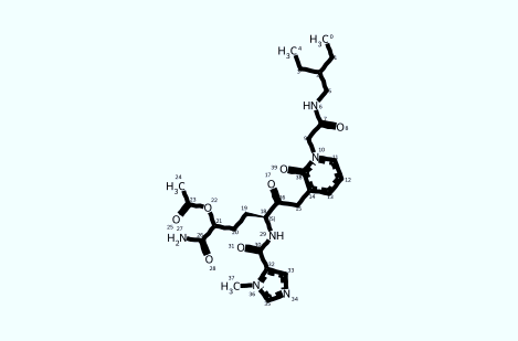 CCC(CC)CNC(=O)Cn1cccc(CC(=O)[C@H](CCC(OC(C)=O)C(N)=O)NC(=O)c2cncn2C)c1=O